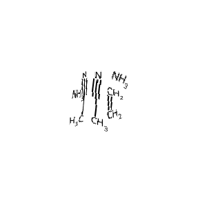 C=C.CC#N.CC#N.N.N